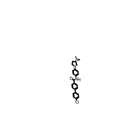 CN(C)C1CCN(c2ccc(NC(=O)c3ccc(-c4ccc(Cl)cc4)cc3)cc2)C1